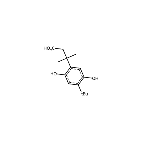 CC(C)(C)c1cc(O)c(C(C)(C)CC(=O)O)cc1O